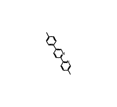 Cc1ccc(-c2ccc(-c3ccc(C)cn3)nc2)cc1